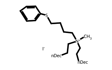 CCCCCCCCCCCC[N+](C)(CCCCCCCCCCCC)CCCCSc1ccccc1.[I-]